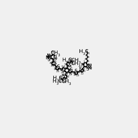 CCCCCCc1cnc(-c2ccc(-c3ccc(-c4cc5c(-c6ccc(C(C)(C)C)s6)c6sc(-c7ccc(-c8ccc(-c9ncc(C)c%10nnsc9%10)s8)s7)cc6c(-c6ccc(C(C)(C)C)s6)c5s4)s3)s2)c2snnc12